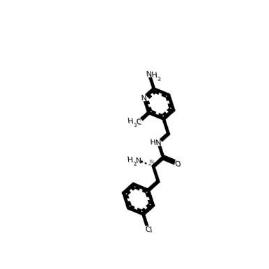 Cc1nc(N)ccc1CNC(=O)[C@@H](N)Cc1cccc(Cl)c1